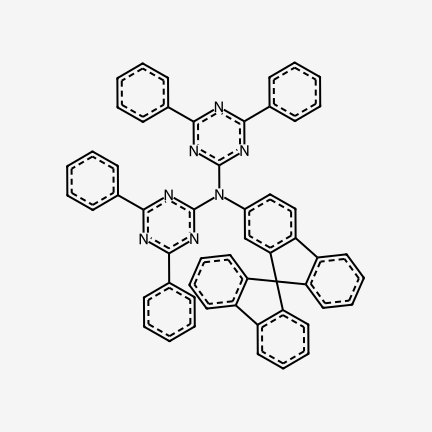 c1ccc(-c2nc(-c3ccccc3)nc(N(c3ccc4c(c3)C3(c5ccccc5-c5ccccc53)c3ccccc3-4)c3nc(-c4ccccc4)nc(-c4ccccc4)n3)n2)cc1